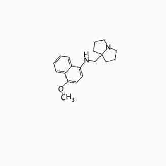 COc1ccc(NCC23CCCN2CCC3)c2ccccc12